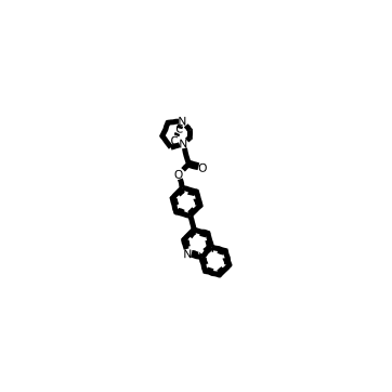 O=C(Oc1ccc(-c2cnc3ccccc3c2)cc1)N1CCN2CCC1CC2